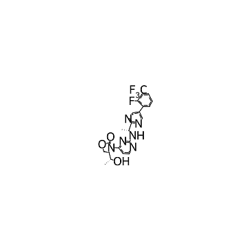 C[C@@H](Nc1nccc(N2C(=O)OC[C@@H]2[C@@H](C)O)n1)c1ncc(-c2cccc(C(F)(F)F)c2F)cn1